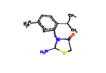 Cc1ccc(C(C)C)c(N2C(=O)CSC2N)c1